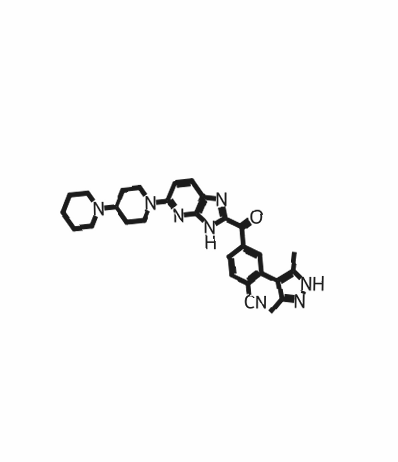 Cc1n[nH]c(C)c1-c1cc(C(=O)c2nc3ccc(N4CCC(N5CCCCC5)CC4)nc3[nH]2)ccc1C#N